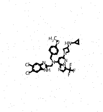 COc1ccc(CN(Cc2nc3cc(Cl)c(Cl)cc3[nH]2)c2cc(N3CC(NC4CC4)C3)nn3c(C(F)(F)F)cnc23)cc1